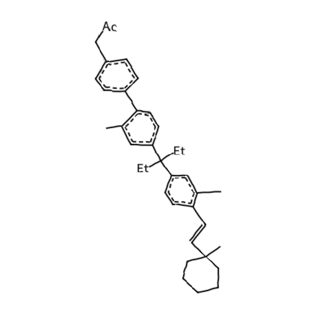 CCC(CC)(c1ccc(/C=C/C2(C)CCCCC2)c(C)c1)c1ccc(-c2ccc(CC(C)=O)cc2)c(C)c1